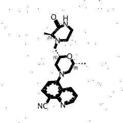 C[C@@H]1CN(c2ccc(C#N)c3ncccc23)C[C@H](CN2CCNC(=O)[C@@H]2C)O1